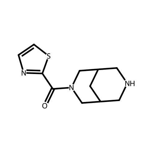 O=C(c1nccs1)N1CC2CNCC(C2)C1